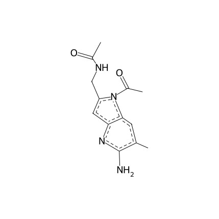 CC(=O)NCc1cc2nc(N)c(C)cc2n1C(C)=O